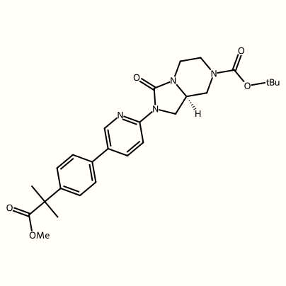 COC(=O)C(C)(C)c1ccc(-c2ccc(N3C[C@@H]4CN(C(=O)OC(C)(C)C)CCN4C3=O)nc2)cc1